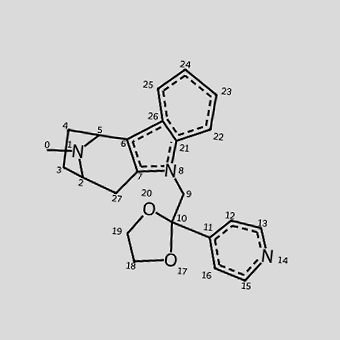 CN1C2CCC1c1c(n(CC3(c4ccncc4)OCCO3)c3ccccc13)C2